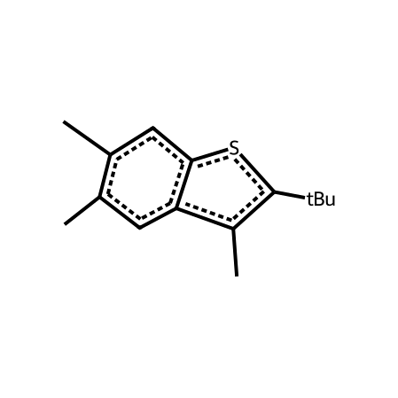 Cc1cc2sc(C(C)(C)C)c(C)c2cc1C